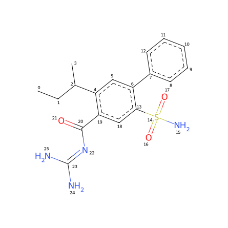 CCC(C)c1cc(-c2ccccc2)c(S(N)(=O)=O)cc1C(=O)N=C(N)N